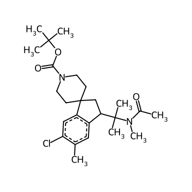 CC(=O)N(C)C(C)(C)C1CC2(CCN(C(=O)OC(C)(C)C)CC2)c2cc(Cl)c(C)cc21